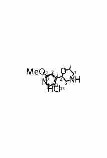 COc1cc(C2CNCCO2)ccn1.Cl